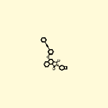 O=C1c2cc(Oc3cccc(C#Cc4ccccc4)c3)c3ccccc3c2C(=O)N1c1ccc2c(c1)C=C2